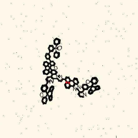 O=P(c1ccccc1)(c1ccccc1)c1cccc(-c2cccc(-c3ccc4c(c3)C3(c5cc(-c6ccc(-c7ccc8c(c7)C7(c9ccccc9O8)c8ccccc8-c8ccccc87)nc6-c6ccc(-c7ccc(-c8cccc9nc(-c%10cccnc%10-c%10ccc%11c(c%10)C%10(c%12ccccc%12O%11)c%11ccccc%11-c%11ccccc%11%10)nc(-c%10ccccc%10)c89)cc7)nn6)ccc5O4)c4ccccc4-c4ccccc43)c2)c1